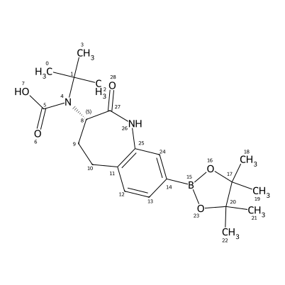 CC(C)(C)N(C(=O)O)[C@H]1CCc2ccc(B3OC(C)(C)C(C)(C)O3)cc2NC1=O